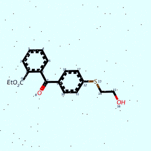 CCOC(=O)c1ccccc1C(=O)c1ccc(SCCO)cc1